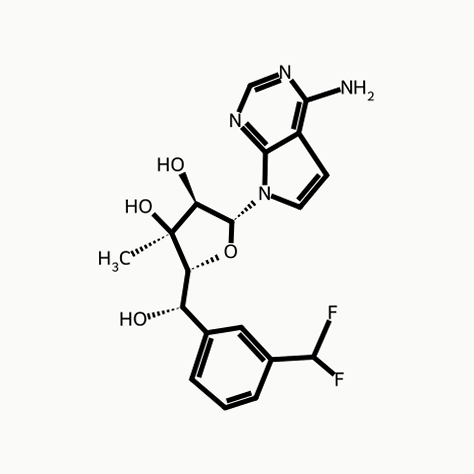 C[C@@]1(O)[C@@H]([C@@H](O)c2cccc(C(F)F)c2)O[C@@H](n2ccc3c(N)ncnc32)[C@@H]1O